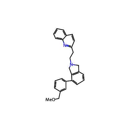 COCc1cccc(-c2cccc3c2CN(CCc2ccc4ccccc4n2)C3)c1